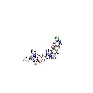 C=C/N=c1/cc(Oc2ccc(Nc3ncnc4ccc(Oc5ccnc(Cl)c5)cc34)cc2C)ccn1C